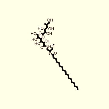 CCCCCCCC/C=C/CCCCCCCC(=O)OC(CNC(=O)C(O)C(O)C(O[C@@H](O)C(O)[C@H](O)[C@H](O)C(I)CO)C(O)CO)COC